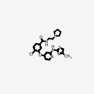 Cc1csc(Nc2cc(Oc3cc(C(=O)NCCN4CCCC4)ccc3Cl)ccn2)n1